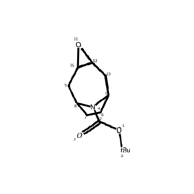 CC(C)(C)OC(=O)N1C2CCC1CC1OC1C2